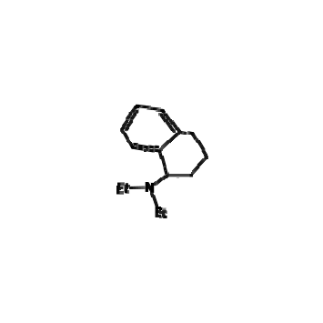 CCN(CC)C1CCCc2ccccc21